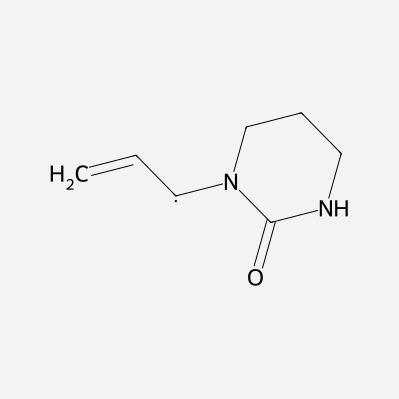 C=C[CH]N1CCCNC1=O